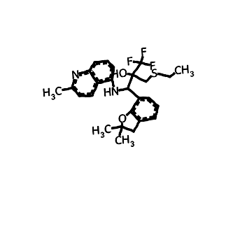 CCSCC(O)(C(Nc1cccc2nc(C)ccc12)c1cccc2c1OC(C)(C)C2)C(F)(F)F